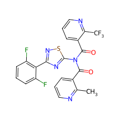 Cc1ncccc1C(=O)N(C(=O)c1cccnc1C(F)(F)F)c1nc(-c2c(F)cccc2F)ns1